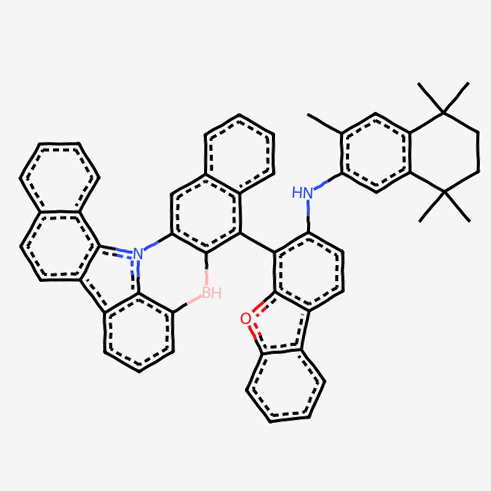 Cc1cc2c(cc1Nc1ccc3c(oc4ccccc43)c1-c1c3c(cc4ccccc14)-n1c4c(cccc4c4ccc5ccccc5c41)B3)C(C)(C)CCC2(C)C